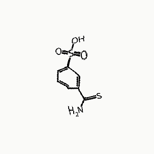 NC(=S)c1cccc(S(=O)(=O)O)c1